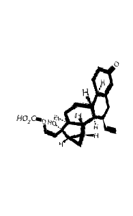 C=C[C@@H]1CC2=CC(=O)CC[C@@H]2[C@H]2CC[C@@]3(CC)[C@@H]([C@@H]4C[C@@H]4[C@@]3(O)/C=C\OC(=O)O)[C@@H]21